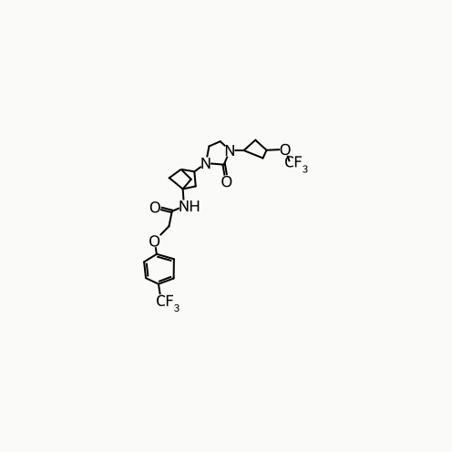 O=C(COc1ccc(C(F)(F)F)cc1)NC12CC(C1)C(N1CCN(C3CC(OC(F)(F)F)C3)C1=O)C2